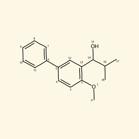 COc1ccc(-c2ccccc2)cc1C(O)C(C)C